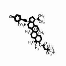 C=C(C)[C@@H]1CC[C@]2(C#Cc3ccc(Cl)cc3C(=O)O)CC[C@]3(C)C(CCC4[C@@]5(C)CCC(OC(=O)CC(C)(C)C(=O)O)C(C)(C)C5CC[C@]43C)C12